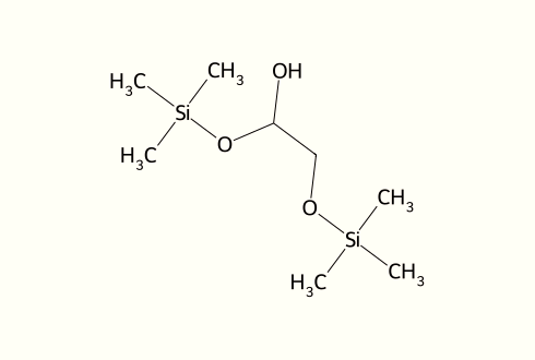 C[Si](C)(C)OCC(O)O[Si](C)(C)C